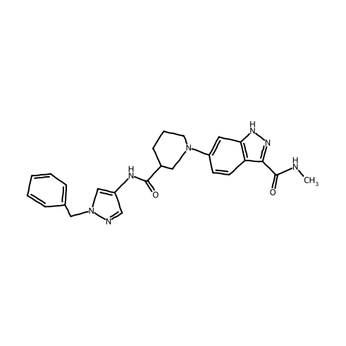 CNC(=O)c1n[nH]c2cc(N3CCCC(C(=O)Nc4cnn(Cc5ccccc5)c4)C3)ccc12